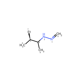 C=NNC(C)[C@@H](C)CC